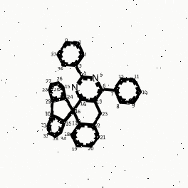 c1ccc(-c2nc(-c3ccccc3)c3c(n2)C2(c4ccccc4C3)c3ccccc3-c3ccccc32)cc1